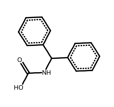 O=C(O)NC(c1ccccc1)c1ccccc1